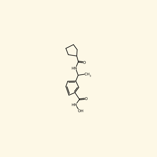 CC(NC(=O)C1CCCC1)c1cccc(C(=O)NO)c1